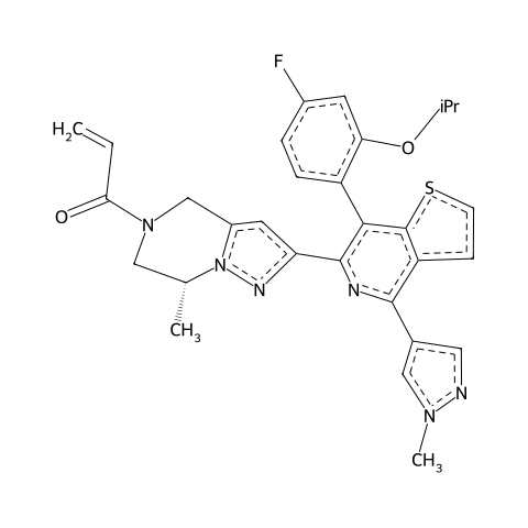 C=CC(=O)N1Cc2cc(-c3nc(-c4cnn(C)c4)c4ccsc4c3-c3ccc(F)cc3OC(C)C)nn2[C@H](C)C1